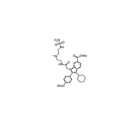 COC(=O)c1ccc2c(C3CCCCC3)c(-c3ccc(OC)cc3)n(CC(=O)NCCN(C)CCNS(N)(=O)=O)c2c1